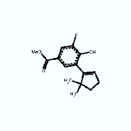 COC(=O)c1cc(F)c(O)c(C2=CCCC2(C)C)c1